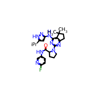 CC(C)c1cc(Nc2nc(N3CCCC3C(=O)Nc3ccc(F)nc3)nc3c2C(C)(C)CC3)n[nH]1